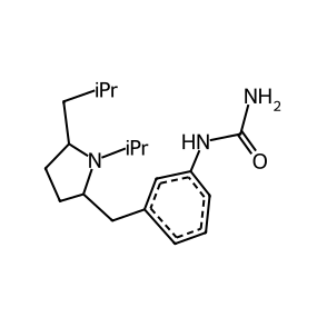 CC(C)CC1CCC(Cc2cccc(NC(N)=O)c2)N1C(C)C